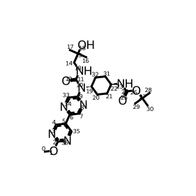 COc1ncc(-c2cnc(N(C(=O)NCC(C)(C)O)[C@H]3CC[C@H](NC(=O)OC(C)(C)C)CC3)cn2)cn1